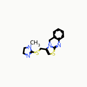 CN1CCN=C1SCC1=CSC2=Nc3ccccc3CN12